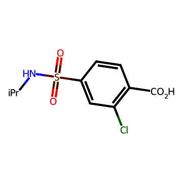 CC(C)NS(=O)(=O)c1ccc(C(=O)O)c(Cl)c1